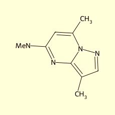 CNc1cc(C)n2ncc(C)c2n1